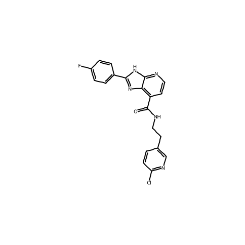 O=C(NCCc1ccc(Cl)nc1)c1ccnc2[nH]c(-c3ccc(F)cc3)nc12